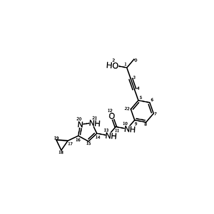 CC(O)C#Cc1cccc(NC(=O)Nc2cc(C3CC3)n[nH]2)c1